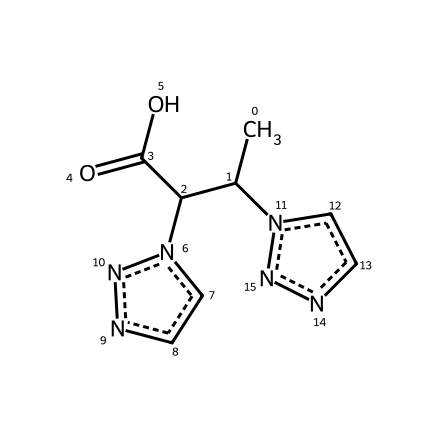 CC(C(C(=O)O)n1ccnn1)n1ccnn1